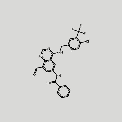 O=[C]c1cc(NC(=O)c2ccccc2)cc2c(NCc3ccc(Cl)c(C(F)(F)F)c3)ncnc12